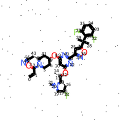 C=CC(=O)N1CC[C@H](Oc2cc(O[C@@H](C)[C@@H]3C[C@@H](F)CN3C)nc(-c3cc(C(C)(C)c4c(F)cccc4F)on3)n2)C[C@H]1CC#N